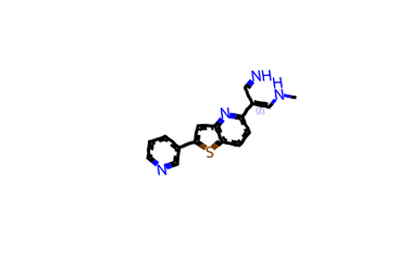 CN/C=C(\C=N)c1ccc2sc(-c3cccnc3)cc2n1